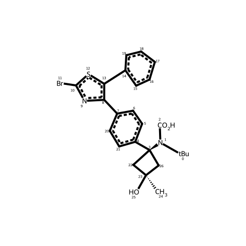 CC(C)(C)N(C(=O)O)[C@]1(c2ccc(-c3nc(Br)sc3-c3ccccc3)cc2)C[C@](C)(O)C1